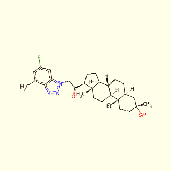 CC[C@]12CC[C@@](C)(O)C[C@@H]1CC[C@H]1[C@@H]3CC[C@H](C(=O)Cn4nnc5c(C)cc(F)cc54)[C@@]3(C)CC[C@@H]12